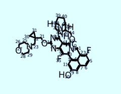 C#Cc1c(F)ccc2cc(O)cc(-c3nc4c5c(nc(OCC6(CN7CCOCC7)CC6)nc5c3F)N3C[C@H]5CC[C@H](N5)[C@H]3CO4)c12